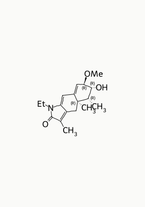 CCN1C(=O)C(C)=C2C[C@@]3(C)C(=C[C@@H](OC)[C@H](O)[C@@H]3C)C=C21